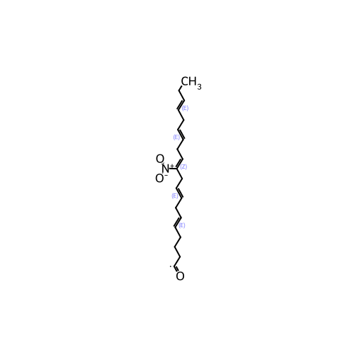 CC/C=C/C/C=C/C/C=C(/C/C=C/C/C=C/CCC[C]=O)[N+](=O)[O-]